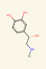 CCNC[C@@H](O)c1ccc(O)c(O)c1